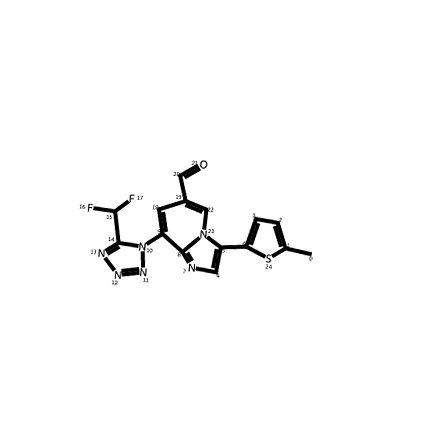 Cc1ccc(-c2cnc3c(-n4nnnc4C(F)F)cc(C=O)cn23)s1